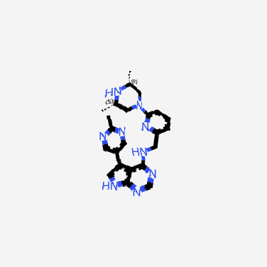 Cc1ncc(-c2c[nH]c3ncnc(NCc4cccc(N5C[C@@H](C)N[C@@H](C)C5)n4)c23)cn1